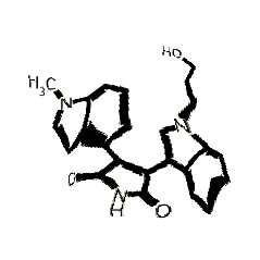 Cn1ccc2c(C3=C(c4cn(CCCO)c5ccccc45)C(=O)NC3=O)cccc21